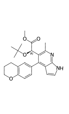 COC(=O)[C@H](OC(C)(C)C)c1c(C)nc2[nH]ccc2c1-c1ccc2c(c1)CCCO2